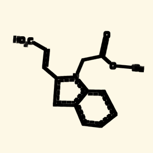 CC(C)(C)OC(=O)Cn1c(C=CC(=O)O)cc2ccccc21